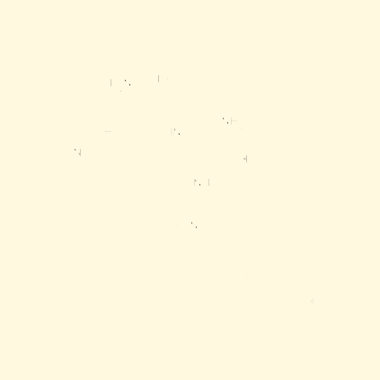 COCCN.NCCNCCO.NCCO.NCCOCCO.NCCc1ccccc1